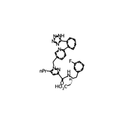 CCCc1cc(C(=O)N[C@@H](CC(=O)O)Cc2cccc(F)c2)nn1Cc1ccc(-c2ccccc2-c2nnn[nH]2)nc1